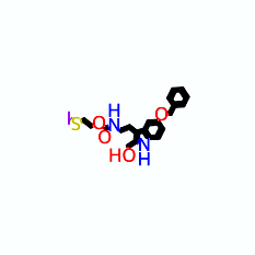 O=C(NCCc1c(CO)[nH]c2ccc(OCc3ccccc3)cc12)OCCSI